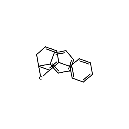 C1=CC(c2ccccc2)=C2OC2(c2ccccc2)C1